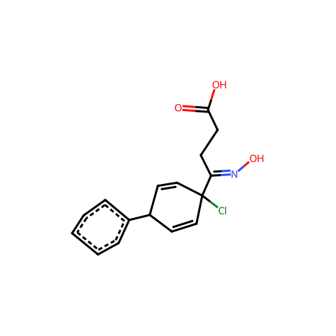 O=C(O)CC/C(=N\O)C1(Cl)C=CC(c2ccccc2)C=C1